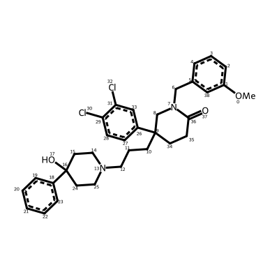 COc1cccc(CN2CC(CCCN3CCC(O)(c4ccccc4)CC3)(c3ccc(Cl)c(Cl)c3)CCC2=O)c1